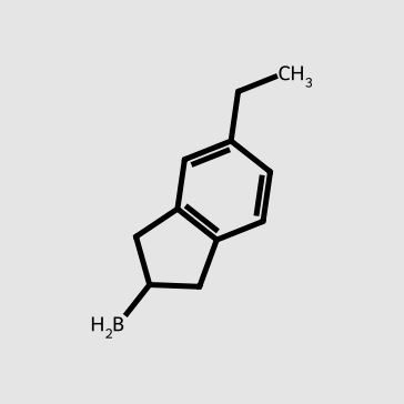 BC1Cc2ccc(CC)cc2C1